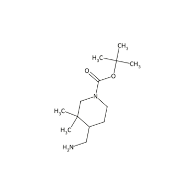 CC(C)(C)OC(=O)N1CCC(CN)C(C)(C)C1